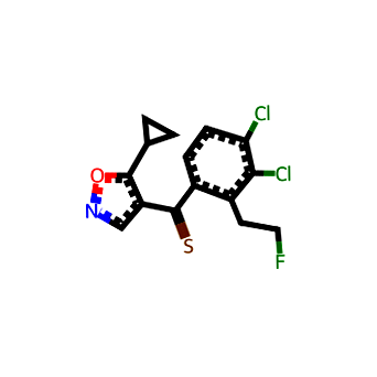 FCCc1c(C(=S)c2cnoc2C2CC2)ccc(Cl)c1Cl